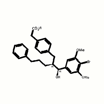 COc1cc([C@@H](O)[C@@H](CCCc2ccccc2)Cc2ccc(CC(=O)O)cc2)cc(OC)c1Br